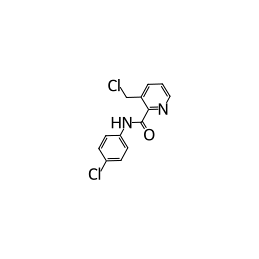 O=C(Nc1ccc(Cl)cc1)c1ncccc1CCl